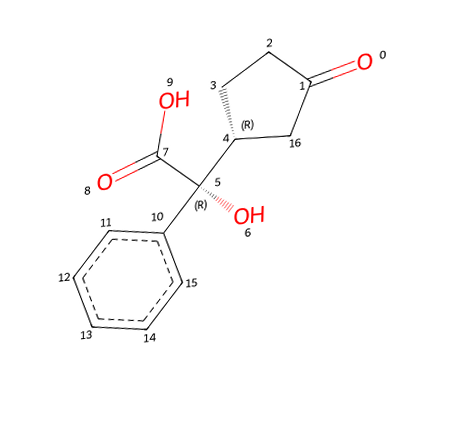 O=C1CC[C@@H]([C@](O)(C(=O)O)c2ccccc2)C1